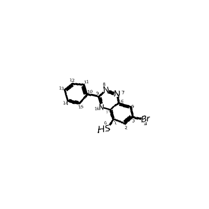 Sc1cc(Br)cc2nnc(-c3ccccc3)nc12